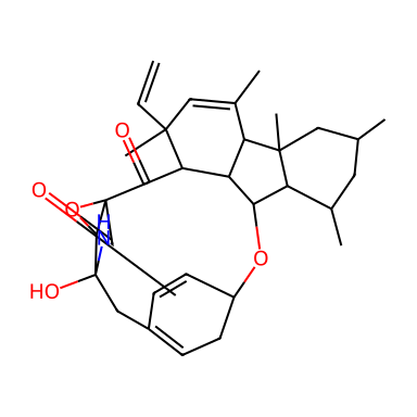 C=CC1(C)C=C(C)C2C3C(OC4C=CC(=CC4)CC4(O)NC(=O)C5(OC45)C(=O)C31)C1C(C)CC(C)CC21C